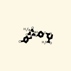 Cn1c(=O)[nH]/c(=N\c2ccc(Oc3cc(C(N)=O)ccn3)cc2)n(Cc2ccc(Cl)cc2)c1=O